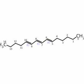 [CH2]CCCC/C=C/C=C/C=C/CCCC